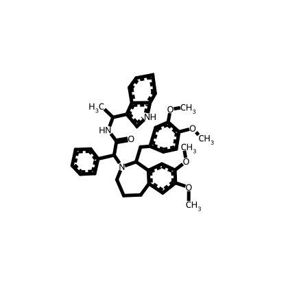 COc1ccc(CC2c3cc(OC)c(OC)cc3CCCN2C(C(=O)NC(C)c2c[nH]c3ccccc23)c2ccccc2)cc1OC